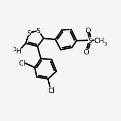 [3H]C1=C(c2ccc(Cl)cc2Cl)C(c2ccc(S(C)(=O)=O)cc2)SS1